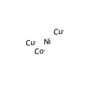 [Co].[Cu].[Cu].[Ni]